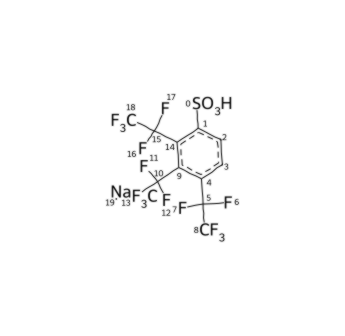 O=S(=O)(O)c1ccc(C(F)(F)C(F)(F)F)c(C(F)(F)C(F)(F)F)c1C(F)(F)C(F)(F)F.[Na]